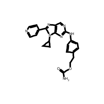 NC(=O)OCCc1ccc(Nc2ncc3nc(-c4ccncc4)n(C4CC4)c3n2)cc1